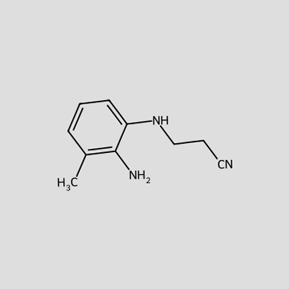 Cc1cccc(NCCC#N)c1N